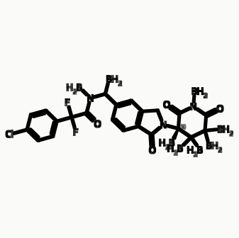 BC(c1ccc2c(c1)CN([C@]1(B)C(=O)N(B)C(=O)C(B)(B)C1(B)B)C2=O)N(B)C(=O)C(F)(F)c1ccc(Cl)cc1